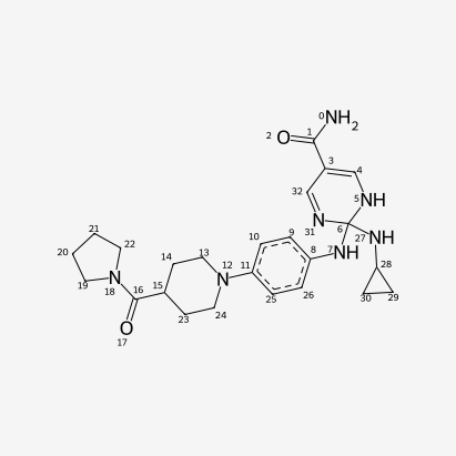 NC(=O)C1=CNC(Nc2ccc(N3CCC(C(=O)N4CCCC4)CC3)cc2)(NC2CC2)N=C1